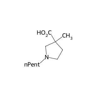 CCCCCN1CCC(C)(C(=O)O)C1